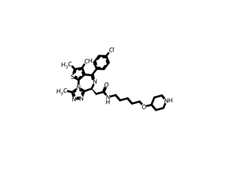 Cc1sc2c(c1C)C(c1ccc(Cl)cc1)=N[C@@H](CC(=O)NCCCCCOC1CCNCC1)c1nnc(C)n1-2